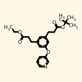 CCOC(=O)CCc1cc(CCC(=O)OC(C)(C)C)cc(Oc2cccnc2)c1